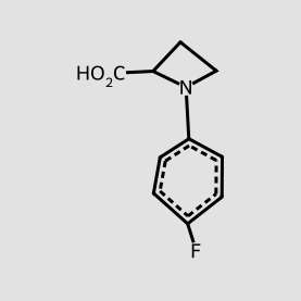 O=C(O)C1CCN1c1ccc(F)cc1